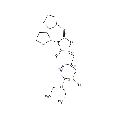 C=C(\C=C/C(=C\CC)/C=C1/O/C(=N/C2CCCC2)N(C2CCCC2)C1=O)N(CC)CC